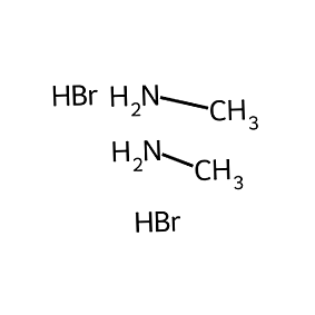 Br.Br.CN.CN